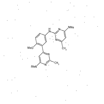 CNc1cc(-c2cc(Nc3nc(C)cc(NC)n3)ccc2OC)nc(C)n1